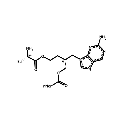 CCCCCCCCCC(=O)OC[C@H](CCOC(=O)[C@@H](N)C(C)CC)Cn1cnc2cnc(N)nc21